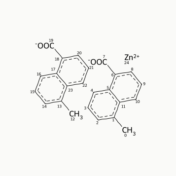 Cc1cccc2c(C(=O)[O-])cccc12.Cc1cccc2c(C(=O)[O-])cccc12.[Zn+2]